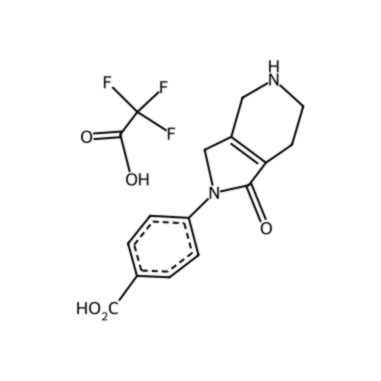 O=C(O)C(F)(F)F.O=C(O)c1ccc(N2CC3=C(CCNC3)C2=O)cc1